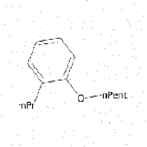 CC[CH]c1ccccc1OCCCCC